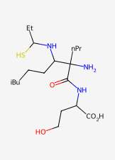 CCCC(N)(C(=O)NC(CCO)C(=O)O)C(CCC(C)CC)NC(S)CC